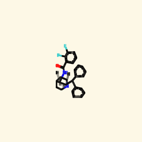 O=C(N[C@@H]1C2CCN(CC2)[C@@H]1C(c1ccccc1)c1ccccc1)c1cccc(F)c1F